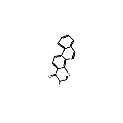 O=C1c2ccc3c(ccc4ccccc43)c2N=CC1F